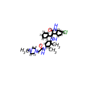 Cc1c(NC(=O)CN2CCN(C)CC2)ccc(NC(=C2C(=O)Nc3cc(Cl)ccc32)c2ccccc2)c1C